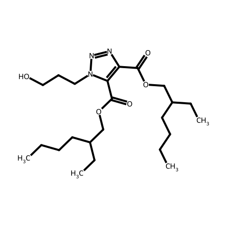 CCCCC(CC)COC(=O)c1nnn(CCCO)c1C(=O)OCC(CC)CCCC